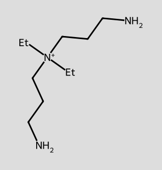 CC[N+](CC)(CCCN)CCCN